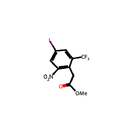 COC(=O)Cc1c([N+](=O)[O-])cc(I)cc1C(F)(F)F